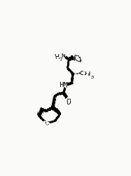 C[C@H]([CH]NC(=O)CC1CCOCC1)CC(N)=O